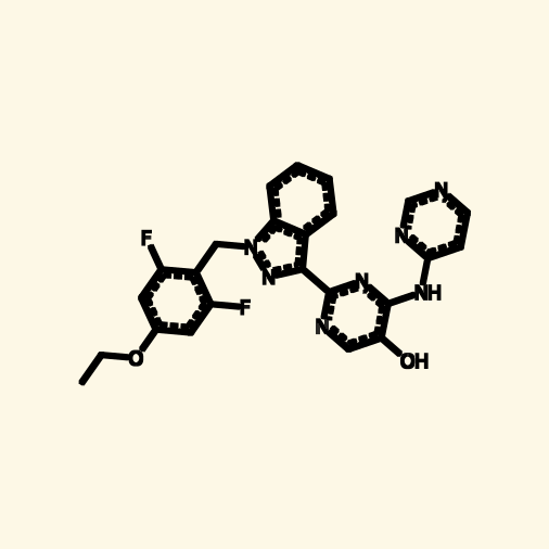 CCOc1cc(F)c(Cn2nc(-c3ncc(O)c(Nc4ccncn4)n3)c3ccccc32)c(F)c1